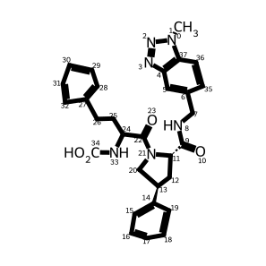 Cn1nnc2cc(CNC(=O)[C@@H]3C[C@@H](c4ccccc4)CN3C(=O)C(CCc3ccccc3)NC(=O)O)ccc21